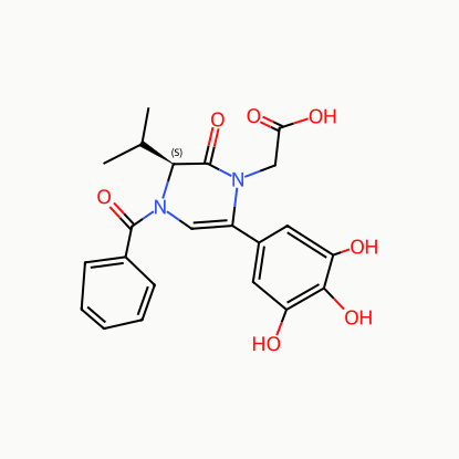 CC(C)[C@H]1C(=O)N(CC(=O)O)C(c2cc(O)c(O)c(O)c2)=CN1C(=O)c1ccccc1